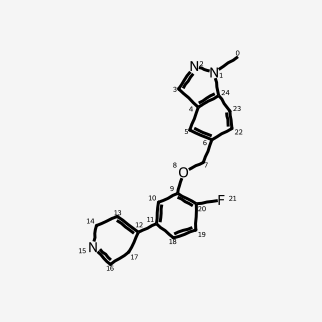 Cn1ncc2cc(COc3cc(C4=CCN=CC4)ccc3F)ccc21